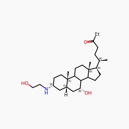 CCC(=O)CC[C@@H](C)[C@H]1CCC2C3C(CC[C@@]21C)[C@@]1(C)CC[C@@H](NCCO)C[C@H]1C[C@H]3O